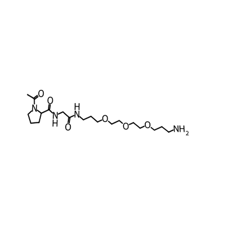 CC(=O)N1CCCC1C(=O)NCC(=O)NCCCOCCOCCOCCCN